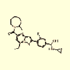 CCc1cc(C(=O)N2CCCCCC2C)nc2cc(-c3ccc(C(O)NC4CC4)cc3F)nn12